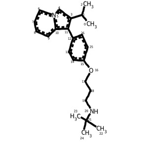 CC(C)c1[c]n2ccccc2c1-c1ccc(OCCCNC(C)(C)C)cc1